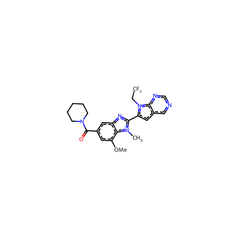 COc1cc(C(=O)N2CCCCC2)cc2nc(-c3cc4cncnc4n3CC(F)(F)F)n(C)c12